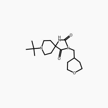 CC(C)(C)N1CCC2(CC1)NC(=O)N(CC1CCOCC1)C2=O